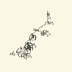 CC(C)CCC[C@@H](C)C1CC[C@H]2[C@@H]3CC=C4C[C@@H](OC(=O)CCC(=O)N(CCCCCCCC(C)N)CCC(C)N)CC[C@]4(C)[C@H]3CC[C@]12C